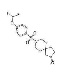 O=C1CCC2(CCN(S(=O)(=O)c3ccc(OC(F)F)cc3)CC2)C1